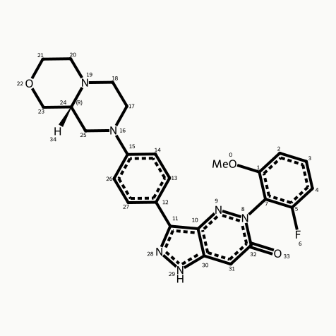 COc1cccc(F)c1-n1nc2c(-c3ccc(N4CCN5CCOC[C@H]5C4)cc3)n[nH]c2cc1=O